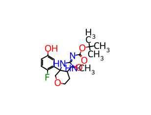 CNC(=NC(=O)OC(C)(C)C)NC1(c2cc(O)ccc2F)COCCC1C=O